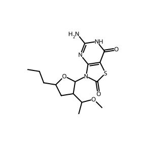 CCCC1CC(C(C)OC)C(n2c(=O)sc3c(=O)[nH]c(N)nc32)O1